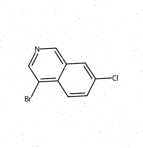 Clc1ccc2c(Br)cncc2c1